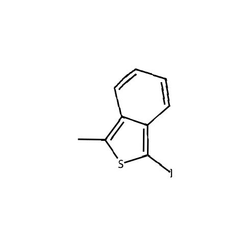 Cc1sc(I)c2ccccc12